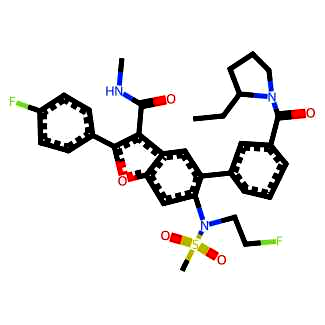 CCC1CCCN1C(=O)c1cccc(-c2cc3c(C(=O)NC)c(-c4ccc(F)cc4)oc3cc2N(CCF)S(C)(=O)=O)c1